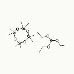 CCOB(OCC)OCC.C[Si]1(C)O[Si](C)(C)O[Si](C)(C)O[Si](C)(C)O1